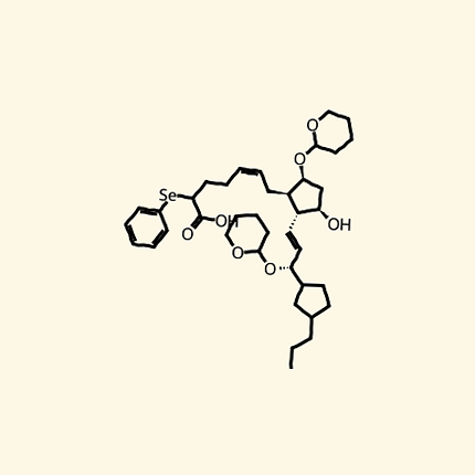 CCCC1CCC([C@@H](/C=C/[C@@H]2[C@@H](C/C=C\CCC([Se]c3ccccc3)C(=O)O)[C@@H](OC3CCCCO3)C[C@H]2O)OC2CCCCO2)C1